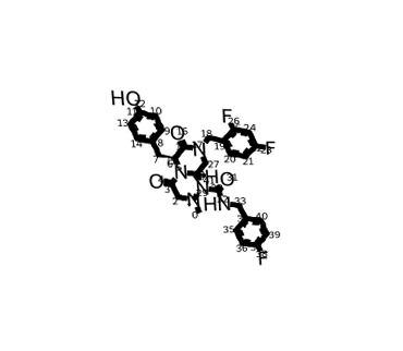 CN1CC(=O)N2[C@@H](Cc3ccc(O)cc3)C(=O)N(Cc3ccc(F)cc3F)C[C@@H]2N1C(=O)NCc1ccc(F)cc1